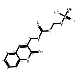 O=C(OCOP(=O)(O)O)OCc1cc2ccccc2oc1=O